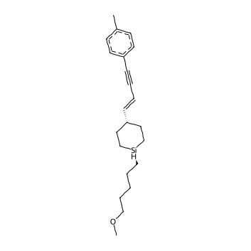 COCCCCC[Si@H]1CC[C@H](C=CC#Cc2ccc(C)cc2)CC1